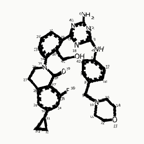 Nc1nc(Nc2ccc(CN3CCOCC3)cc2)nc(-c2cccc(N3CCc4cc(C5CC5)cc(F)c4C3=O)c2CO)n1